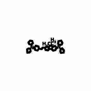 CC1(C)c2cc(/C=C/C3C=CC(N(c4ccccc4)c4ccccc4)=CC3)ccc2-c2ccc(N(c3ccccc3)c3ccccc3)cc21